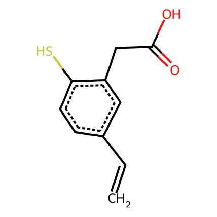 C=Cc1ccc(S)c(CC(=O)O)c1